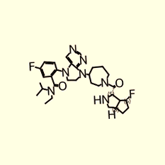 CCN(C(=O)c1cc(F)ccc1N1CCN(C2CCCN(C(=O)[C@H]3NC[C@H]4CC[C@H](F)C43)CC2)c2ncncc21)C(C)C